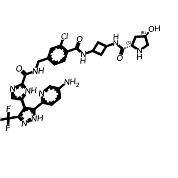 Nc1ccc(-c2[nH]nc(C(F)(F)F)c2-c2cnc(C(=O)NCc3ccc(C(=O)NC4CC(NC(=O)[C@@H]5C[C@@H](O)CN5)C4)c(Cl)c3)[nH]2)nc1